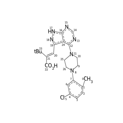 Cc1ccc(Cl)cc1N1CCN(c2ncnc3[nH]nc(C=C(C(=O)O)C(C)(C)C)c23)CC1